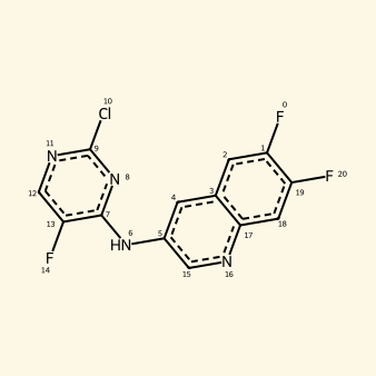 Fc1cc2cc(Nc3nc(Cl)ncc3F)cnc2cc1F